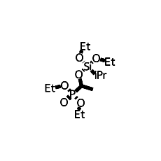 CCO[Si](OCC)(OC(C)P(=O)(OCC)OCC)C(C)C